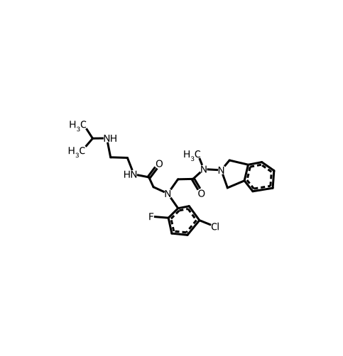 CC(C)NCCNC(=O)CN(CC(=O)N(C)N1Cc2ccccc2C1)c1cc(Cl)ccc1F